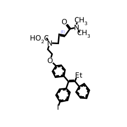 CCC(=C(c1ccc(I)cc1)c1ccc(OCCN(C/C=C/C(=O)N(C)C)C(=O)O)cc1)c1ccccc1